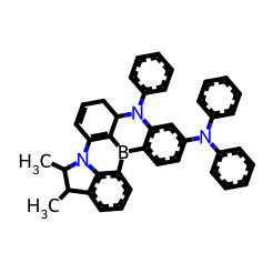 CC1c2cccc3c2N(C2=C4B3c3ccc(N(c5ccccc5)c5ccccc5)cc3N(c3ccccc3)C4CC=C2)C1C